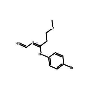 COCC/C(=N/C=N)Nc1ccc(Br)cc1